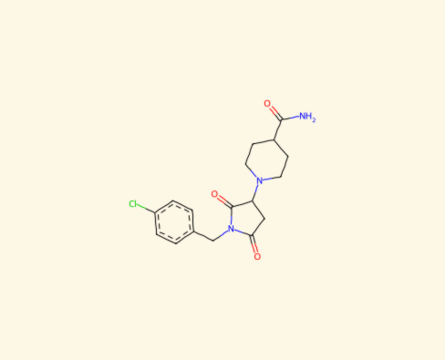 NC(=O)C1CCN(C2CC(=O)N(Cc3ccc(Cl)cc3)C2=O)CC1